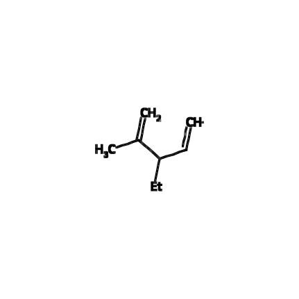 [CH]=CC(CC)C(=C)C